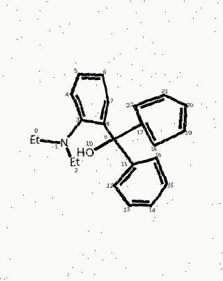 CCN(CC)c1ccccc1C(O)(c1ccccc1)c1ccccc1